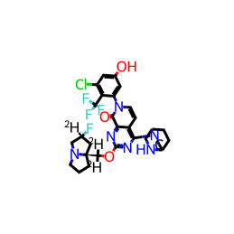 [2H]C([2H])(Oc1nc(N2CC3CCC2CN3)c2ccn(-c3cc(O)cc(Cl)c3C(F)(F)F)c(=O)c2n1)[C@@]12CCCN1C[C@]([2H])(F)C2